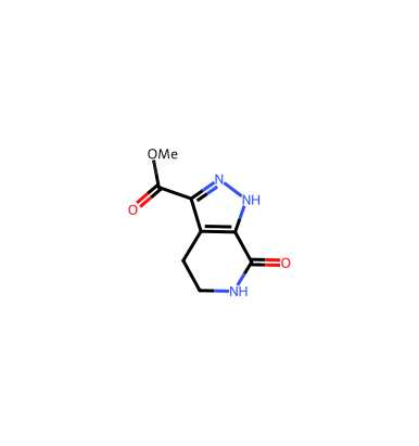 COC(=O)c1n[nH]c2c1CCNC2=O